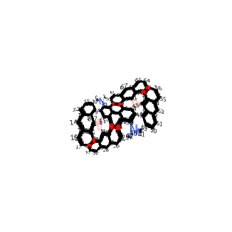 CN(C)c1cc(B(c2c3ccccc3cc3ccccc23)c2c3ccccc3cc3ccccc23)c2ccc3c(N(C)C)cc(B(c4c5ccccc5cc5ccccc45)c4c5ccccc5cc5ccccc45)c4ccc1c2c43